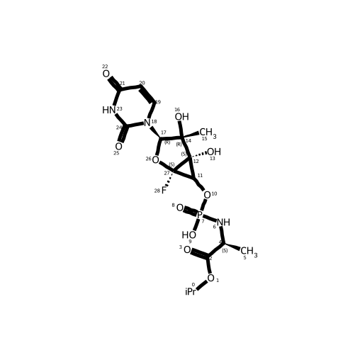 CC(C)OC(=O)[C@H](C)NP(=O)(O)OC1[C@]2(O)[C@@](C)(O)[C@H](n3ccc(=O)[nH]c3=O)O[C@]12F